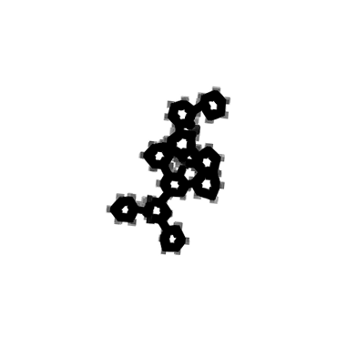 c1ccc(-c2cc(-c3cc(-c4ccccc4)c(-n4c5ccccc5c5c6oc7c(-c8ccccc8)cccc7c6ccc54)c(-c4ccccc4)c3)nc(-c3ccccc3)n2)cc1